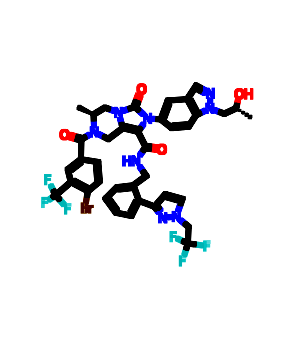 C[C@@H](O)Cn1ncc2cc(-n3c(C(=O)NCc4ccccc4-c4ccn(CC(F)(F)F)n4)c4n(c3=O)C[C@H](C)N(C(=O)c3ccc(Br)c(C(F)(F)F)c3)C4)ccc21